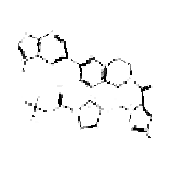 Cc1cc(C(=O)N2CCc3cc(-c4cnc5[nH]cc(C)c5c4)cc([C@@H]4CCCN4C(=O)OC(C)(C)C)c3C2)n(C)n1